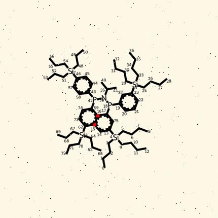 CCCC[Si](CCCC)(CCCC)c1cccc(P(c2cccc([Si](CCCC)(CCCC)CCCC)c2)N(C(C)C)P(c2ccc([Si](CCC)(CCC)CCC)cc2)c2ccc([Si](CCC)(CCC)CCC)cc2)c1